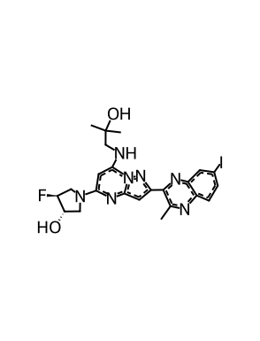 Cc1nc2ccc(I)cc2nc1-c1cc2nc(N3C[C@H](O)[C@@H](F)C3)cc(NCC(C)(C)O)n2n1